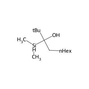 CCCCCCCC(O)([SiH](C)C)C(C)(C)C